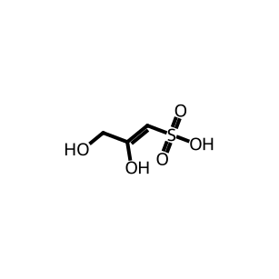 O=S(=O)(O)C=C(O)CO